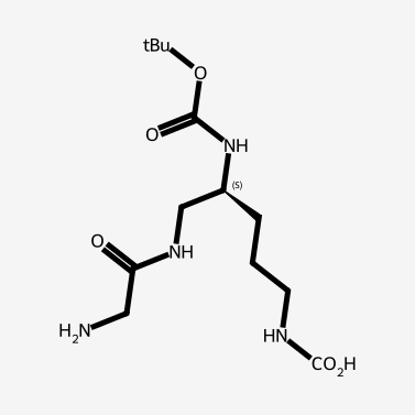 CC(C)(C)OC(=O)N[C@@H](CCCNC(=O)O)CNC(=O)CN